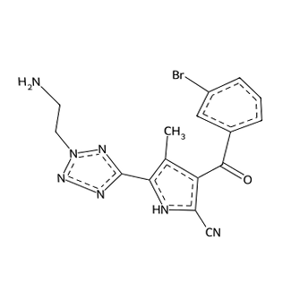 Cc1c(-c2nnn(CCN)n2)[nH]c(C#N)c1C(=O)c1cccc(Br)c1